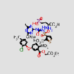 CCOC(=O)COC(=O)c1cc(Oc2ccc(C(F)(F)F)cc2Cl)ccc1[N+](=O)[O-].COc1nc(C)nc(NC(=O)NS(=O)(=O)c2ccsc2C(=O)O)n1.CP(=O)(O)CCC(N)C(=O)O